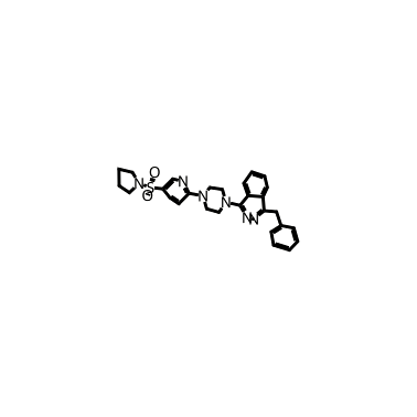 O=S(=O)(c1ccc(N2CCN(c3nnc(Cc4ccccc4)c4ccccc34)CC2)nc1)N1CCCC1